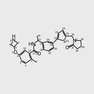 Cc1ccc(OC2CNC2)cc1C(=O)NC(C)c1cccc(-c2ccc(CN3CCCC3=O)s2)c1